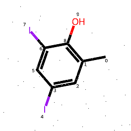 Cc1cc(I)cc(I)c1O